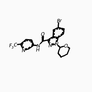 O=C(Nc1ccc(C(F)(F)F)nc1)c1nn(C2CCCCO2)c2ccc(Br)cc12